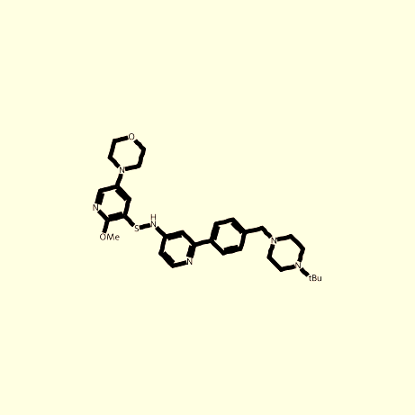 COc1ncc(N2CCOCC2)cc1SNc1ccnc(-c2ccc(CN3CCN(C(C)(C)C)CC3)cc2)c1